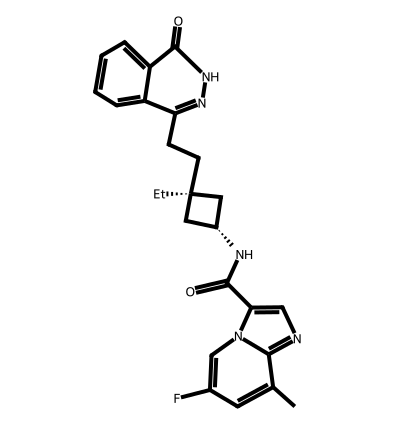 CC[C@]1(CCc2n[nH]c(=O)c3ccccc23)C[C@H](NC(=O)c2cnc3c(C)cc(F)cn23)C1